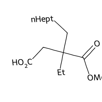 CCCCCCCCC(CC)(CC(=O)O)C(=O)OC